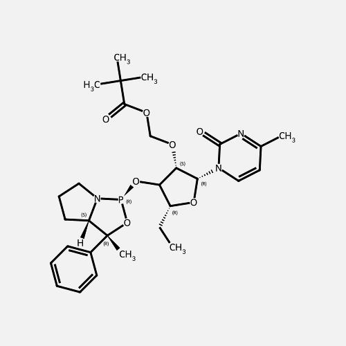 CC[C@H]1O[C@@H](n2ccc(C)nc2=O)[C@@H](OCOC(=O)C(C)(C)C)C1O[P@@]1O[C@](C)(c2ccccc2)[C@@H]2CCCN21